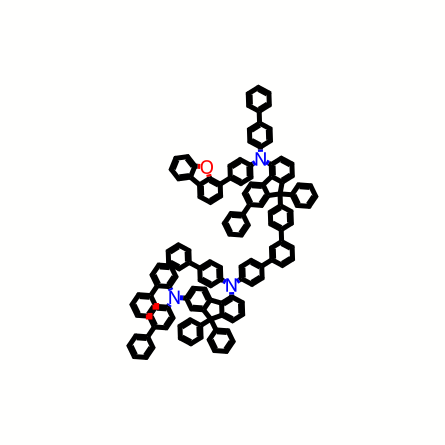 c1ccc(-c2ccc(N(c3ccc4c(c3)C(c3ccccc3)(c3ccccc3)c3cccc(N(c5ccc(-c6ccccc6)cc5)c5ccc(-c6cccc(-c7ccc(C8(c9ccccc9)c9cc(-c%10ccccc%10)ccc9-c9c(N(c%10ccc(-c%11ccccc%11)cc%10)c%10ccc(-c%11cccc%12c%11oc%11ccccc%11%12)cc%10)cccc98)cc7)c6)cc5)c3-4)c3ccccc3-c3ccccc3)cc2)cc1